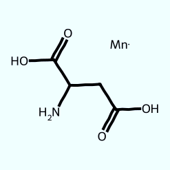 NC(CC(=O)O)C(=O)O.[Mn]